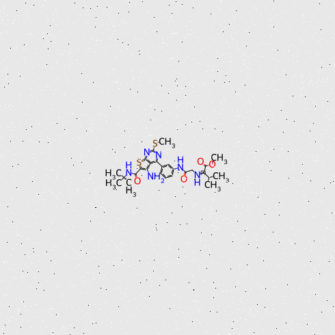 COC(=O)[C@H](NCC(=O)Nc1cccc(-c2nc(SC)nc3sc(C(=O)NC(C)(C)C)c(N)c23)c1)C(C)C